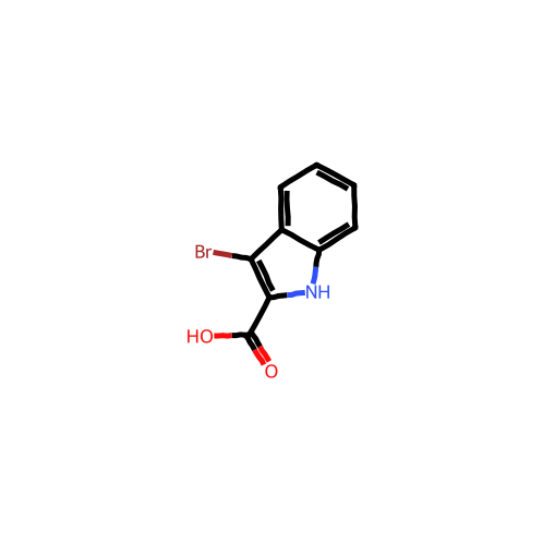 O=C(O)c1[nH]c2ccccc2c1Br